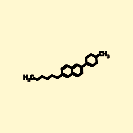 CCCCCCc1ccc2cc(C3=CCC(C)CC3)ccc2c1